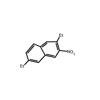 CCc1ccc2cc(CC)c([N+](=O)[O-])cc2c1